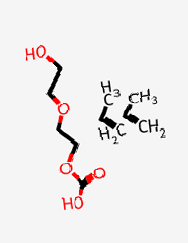 C=CC.C=CC.O=C(O)OCCOCCO